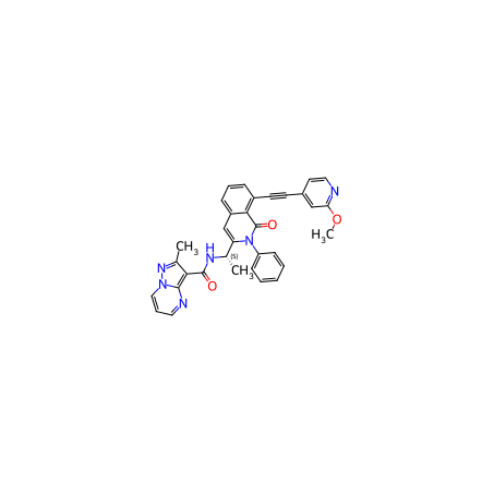 COc1cc(C#Cc2cccc3cc([C@H](C)NC(=O)c4c(C)nn5cccnc45)n(-c4ccccc4)c(=O)c23)ccn1